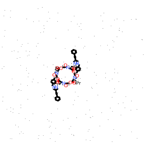 CC(C)C[C@H]1C(=O)O[C@H](Cc2ccc(Cn3cc(C#Cc4ccccc4)cn3)cc2)C(=O)N(C)[C@@H](CC(C)C)C(=O)O[C@H](C)C(=O)N(C)[C@@H](CC(C)C)C(=O)O[C@H](Cc2ccc(Cn3cc(C#Cc4ccccc4)cn3)cc2)C(=O)N(C)[C@@H](CC(C)C)C(=O)O[C@H](C)C(=O)N1C